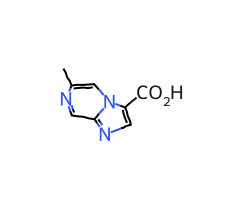 Cc1cn2c(C(=O)O)cnc2cn1